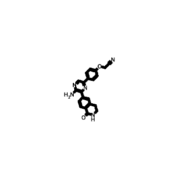 N#CCOc1ccc(-c2cnc(N)c(-c3ccc4c(c3)CCNC4=O)n2)cc1